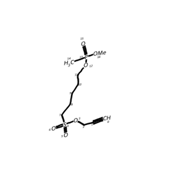 C#CCOS(=O)(=O)CCCCCOP(C)(=O)OC